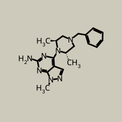 C[C@H]1CN(Cc2ccccc2)C[C@H](C)N1c1nc(N)nc2c1cnn2C